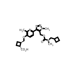 Cc1nc(-c2nnn(C)c2COC(=O)N(C)CC2CCC2)ccc1OC[C@@H]1CC[C@H]1C(=O)O